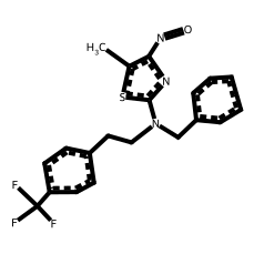 Cc1sc(N(CCc2ccc(C(F)(F)F)cc2)Cc2ccccc2)nc1N=O